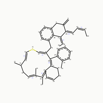 C=C1Cc2cccc(CC3=C\S/C=C/C(C)C/C=C(C)/C(C)=C4\C=CCC\C4=C\3c3ccccc3C)c2C(=C\C)/C1=C/C=C\C